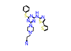 N#CCCN1CCN(c2nc(Nc3ncc(-c4cccs4)s3)nc(Sc3ccccc3)n2)CC1